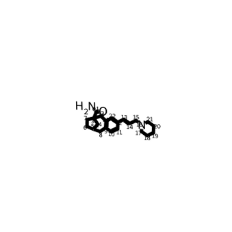 NC(=O)C12[CH]C(CC1)Cc1ccc(C=CCN3CCCCC3)cc1C2